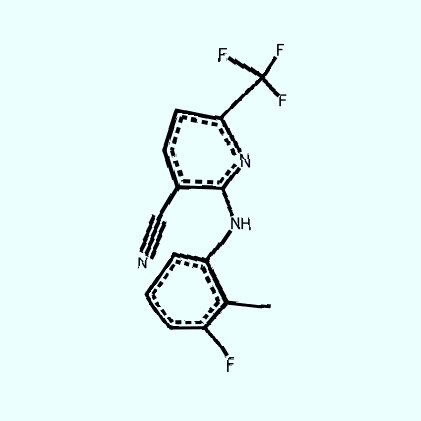 Cc1c(F)cccc1Nc1nc(C(F)(F)F)ccc1C#N